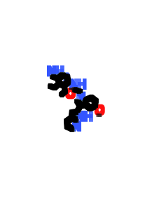 CCc1c(CN)ccc(NC(=O)Cn2cc(-c3cc4cccnc4[nH]3)c3cc(OC)ccc32)c1CC